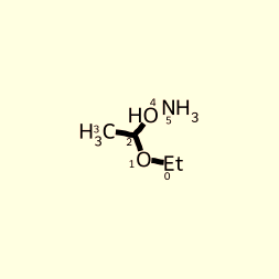 CCOC(C)O.N